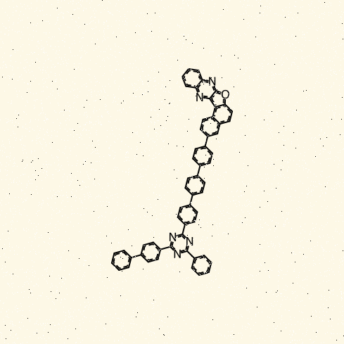 c1ccc(-c2ccc(-c3nc(-c4ccccc4)nc(-c4ccc(-c5ccc(-c6ccc(-c7ccc8c(ccc9oc%10nc%11ccccc%11nc%10c98)c7)cc6)cc5)cc4)n3)cc2)cc1